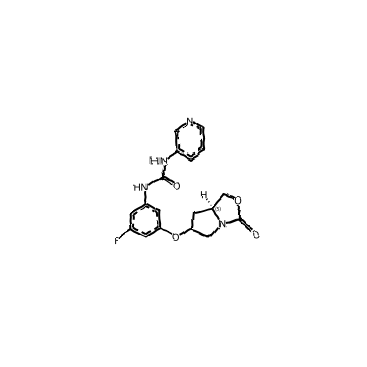 O=C(Nc1cccnc1)Nc1cc(F)cc(OC2C[C@H]3COC(=O)N3C2)c1